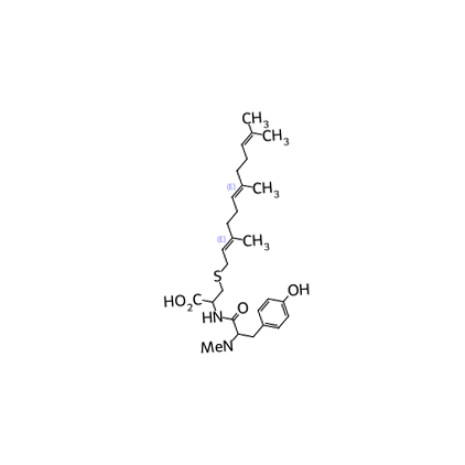 CNC(Cc1ccc(O)cc1)C(=O)NC(CSC/C=C(\C)CC/C=C(\C)CCC=C(C)C)C(=O)O